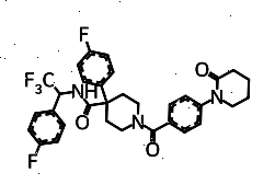 O=C(c1ccc(N2CCCCC2=O)cc1)N1CCC(C(=O)NC(c2ccc(F)cc2)C(F)(F)F)(c2ccc(F)cc2)CC1